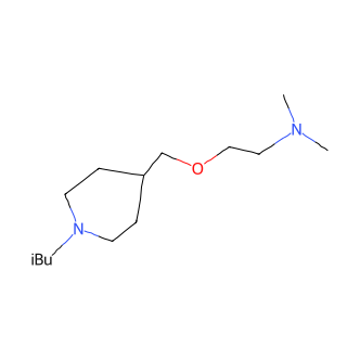 CCC(C)N1CCC(COCCN(C)C)CC1